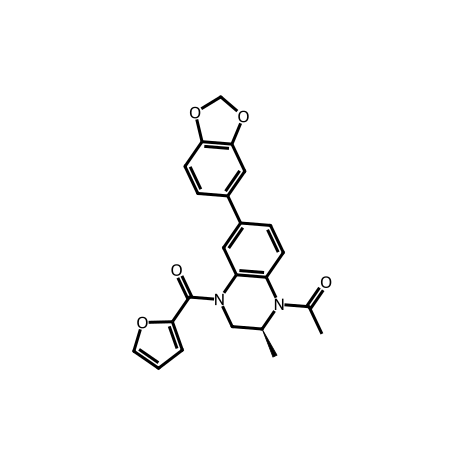 CC(=O)N1c2ccc(-c3ccc4c(c3)OCO4)cc2N(C(=O)c2ccco2)C[C@@H]1C